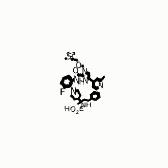 Cc1cc(-c2cn(COCC[Si](C)(C)C)c(C(=O)Nc3cccc(F)c3N3CCC(C(C)(CCc4ccccc4)NC(=O)O)CC3)n2)ccn1